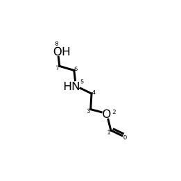 C=COCCNCCO